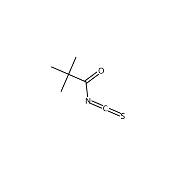 CC(C)(C)C(=O)N=C=S